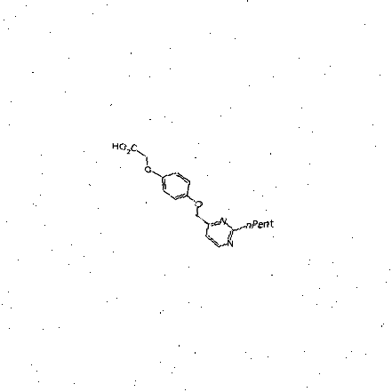 CCCCCc1nccc(COc2ccc(OCC(=O)O)cc2)n1